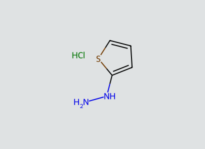 Cl.NNc1cccs1